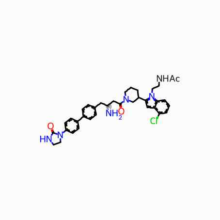 CC(=O)NCCn1c(C2CCCN(C(=O)C[C@H](N)Cc3ccc(-c4ccc(N5CCNC5=O)cc4)cc3)C2)cc2c(Cl)cccc21